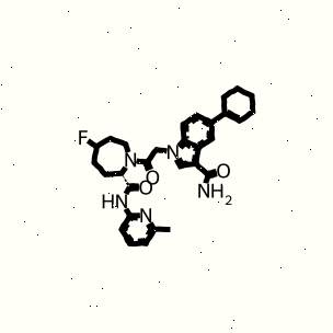 Cc1cccc(NC(=O)[C@@H]2CCC(F)CCN2C(=O)Cn2cc(C(N)=O)c3cc(C4=CCCCC4)ccc32)n1